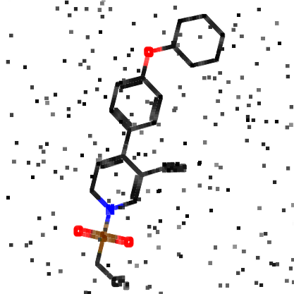 CNC1=CN(S(=O)(=O)CC(F)(F)F)CC=C1c1ccc(OC2CCCCC2)cc1